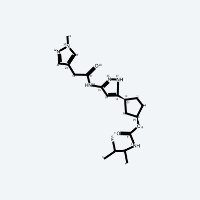 CC(F)C(C)NC(=O)O[C@@H]1CC[C@H](c2cc(NC(=O)Cc3cnn(C)c3)n[nH]2)C1